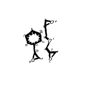 C(OCC1CO1)C1CO1.c1ccc(C2CO2)cc1